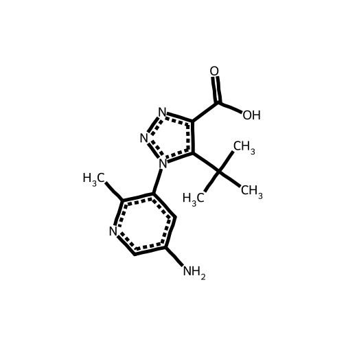 Cc1ncc(N)cc1-n1nnc(C(=O)O)c1C(C)(C)C